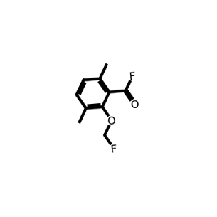 Cc1ccc(C)c(C(=O)F)c1OCF